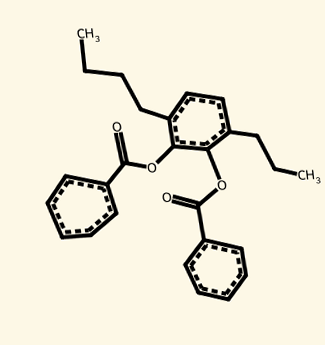 CCCCc1ccc(CCC)c(OC(=O)c2ccccc2)c1OC(=O)c1ccccc1